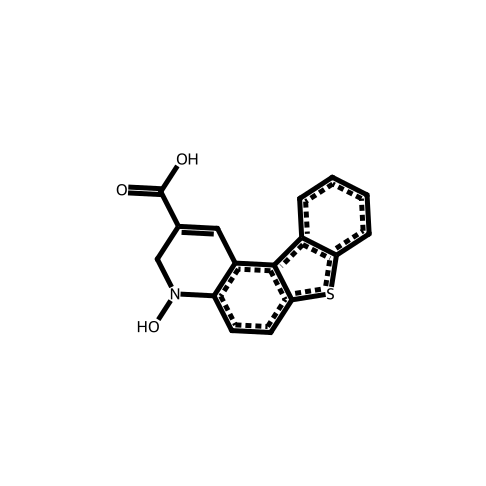 O=C(O)C1=Cc2c(ccc3sc4ccccc4c23)N(O)C1